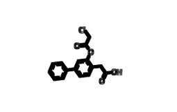 O=C(O)Cc1ccc(-c2ccccc2)cc1OC(=O)CCl